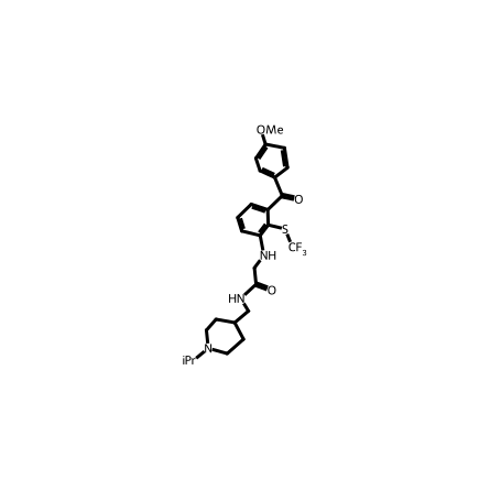 COc1ccc(C(=O)c2cccc(NCC(=O)NCC3CCN(C(C)C)CC3)c2SC(F)(F)F)cc1